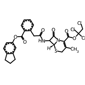 CC1=C(C(=O)OC(Cl)(Cl)CCl)N2C(=O)C(NC(=O)Cc3ccccc3C(=O)Oc3ccc4c(c3)CCC4)[C@H]2SC1